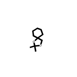 CC1(C)OCC2(CCCCC2)O1